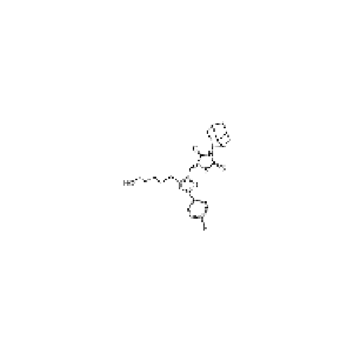 O=C1/C(=C/c2oc(-c3ccc(F)cc3)cc2CCCCCO)SC(=S)N1C1C2CC3CC(C2)CC1C3